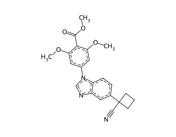 COC(=O)c1c(OC)cc(-n2cnc3cc(C4(C#N)CCC4)ccc32)cc1OC